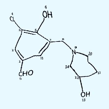 O=Cc1cc(Cl)c(O)c(CN2CCC(O)C2)c1